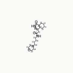 O=C(Cc1n[nH]c(=O)c2c1CCCC2)NCCCCN1CCOCC1